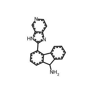 NC1c2ccccc2-c2c(-c3nc4ccncc4[nH]3)cccc21